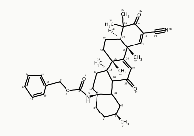 C[C@H]1CC[C@]2(NC(=O)OCc3ccccc3)CC[C@]3(C)C(C(=O)C=C4[C@@]5(C)C=C(C#N)C(=O)C(C)(C)[C@@H]5CC[C@]43C)C2C1